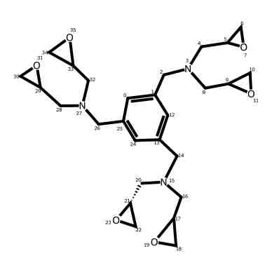 c1c(CN(CC2CO2)CC2CO2)cc(CN(CC2CO2)C[C@@H]2CO2)cc1CN(CC1CO1)CC1CO1